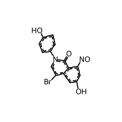 O=Nc1cc(O)cc2c(Br)cn(-c3ccc(O)cc3)c(=O)c12